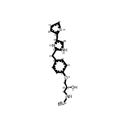 CC(C)(C)NC[C@H](O)COc1ccc(Cc2nc(-c3cccs3)c[nH]2)cc1